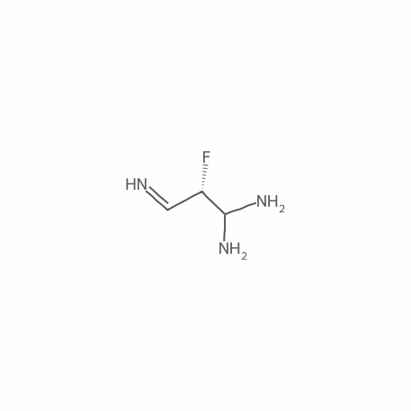 N=C[C@H](F)C(N)N